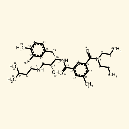 CCCN(CCC)C(=O)c1cc(C)cc(C(=O)N[C@@H](Cc2ccc(C)c(F)c2)[C@H](O)CNCCC(C)C)c1